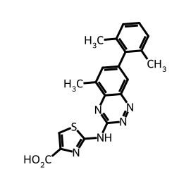 Cc1cccc(C)c1-c1cc(C)c2nc(Nc3nc(C(=O)O)cs3)nnc2c1